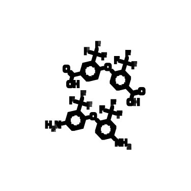 Nc1ccc(Oc2ccc(N)cc2C(F)(F)F)c(C(F)(F)F)c1.O=C(O)c1ccc(Oc2ccc(C(=O)O)cc2C(F)(F)F)c(C(F)(F)F)c1